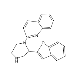 c1ccc2nc(N3CCNCC3c3cc4ccccc4o3)ccc2c1